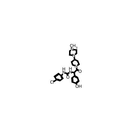 CN1CCN(C2CCN(C(=O)C(NC(=O)Nc3ccc(Cl)cc3)c3ccc(O)cc3)CC2)CC1